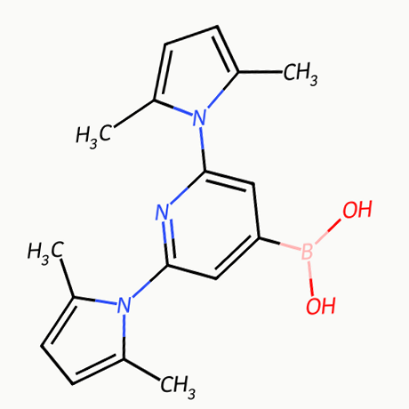 Cc1ccc(C)n1-c1cc(B(O)O)cc(-n2c(C)ccc2C)n1